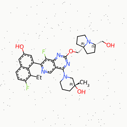 CCc1c(F)ccc2cc(O)cc(-c3ncc4c(N5CCC[C@@](C)(O)C5)nc(OC[C@]56CCCN5[C@H](CO)CC6)nc4c3F)c12